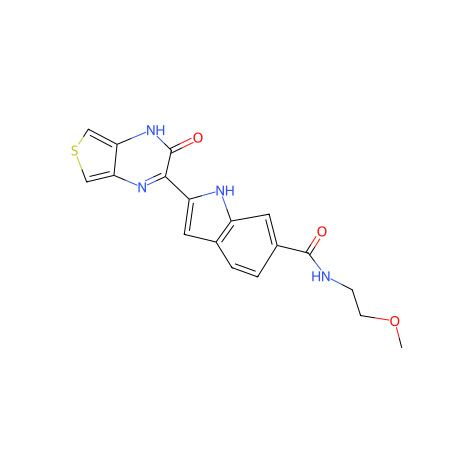 COCCNC(=O)c1ccc2cc(-c3nc4cscc4[nH]c3=O)[nH]c2c1